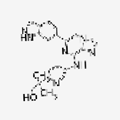 CC(C)(CO)c1ccc(Nc2nc(-c3ccc4cn[nH]c4c3)cn3ccnc23)cn1